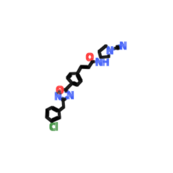 N#CN1CCC(NC(=O)/C=C/c2ccc(-c3nc(Cc4cccc(Cl)c4)no3)cc2)C1